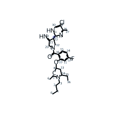 CCCCN1C(C)CC(Oc2cc(F)ccc2C(=O)N2CC(=N)/C(=C3/N=C(C)C(Cl)=CN3)C2)CC1CC